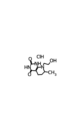 CC1CCc2c([nH]c(=O)[nH]c2=O)N1CCO.Cl